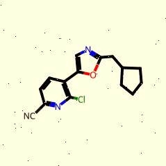 N#Cc1ccc(-c2cnc(CC3CCCC3)o2)c(Cl)n1